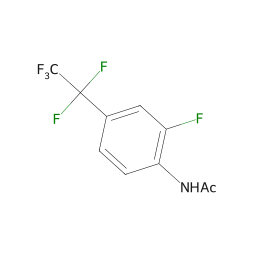 CC(=O)Nc1ccc(C(F)(F)C(F)(F)F)cc1F